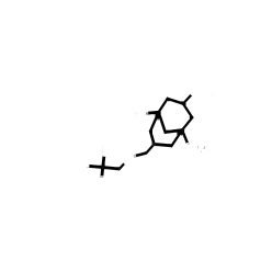 COC12CC(C)CC(O)(CC(COCC(F)(F)S(=O)(=O)O)C1)C2